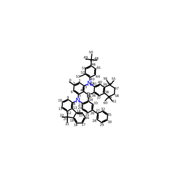 Cc1cc2c3c(c1)N(c1cccc4c1-c1ccccc1C4(C)C)c1ccc(-c4ccccc4)cc1B3c1cc3c(cc1N2c1ccc(C(C)(C)C)cc1C)C(C)(C)CCC3(C)C